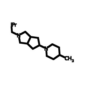 CC(C)CN1CC2CC(N3CCC(C)CC3)CC2C1